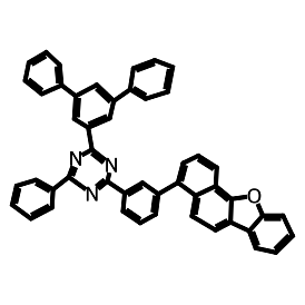 c1ccc(-c2cc(-c3ccccc3)cc(-c3nc(-c4ccccc4)nc(-c4cccc(-c5cccc6c5ccc5c7ccccc7oc65)c4)n3)c2)cc1